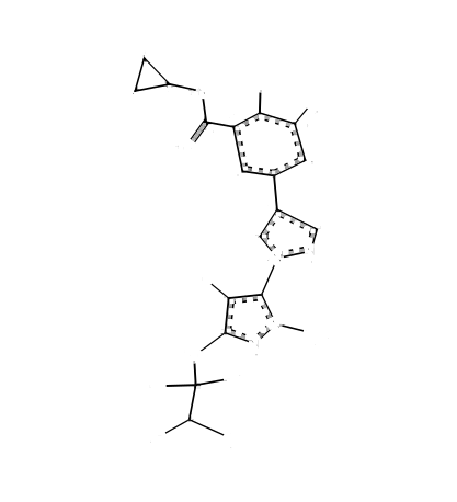 Cc1c(OC(F)(F)C(C)F)nn(C)c1-n1cc(-c2cc(Cl)c(Cl)c(C(=O)NC3CC3)c2)cn1